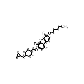 CCCCCOc1ccc2c(sc3c(F)c(OCC4CCC(CC5CC5)CC4)ccc32)c1F